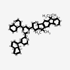 CC1(C)c2cc3c(cc2-c2ncccc21)C(C)(C)c1cc(-c2cc(-c4ccnc5ccccc45)nc(-c4cc(-c5cccc6ccccc56)ccn4)n2)cnc1-3